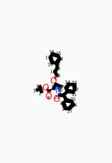 CC(C)(C)OC(=O)[C@H]1[C@@H](OCCCc2ccccc2)CN1C(=O)C(c1ccccc1)c1ccccc1